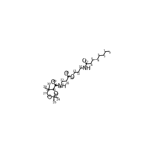 CCCCCCCC(=O)NCCCOC(=O)CCNC(=O)C1OC(C)(C)OCC1(C)C